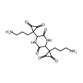 NCCCC1(C2NC(=O)C(C3(CCCN)C(=O)C3=O)NC2=O)C(=O)C1=O